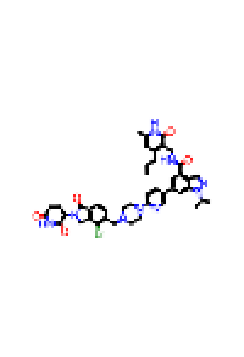 CCCc1cc(C)[nH]c(=O)c1CNC(=O)c1cc(-c2ccc(N3CCN(Cc4ccc5c(c4Br)CN(C4CCC(=O)NC4=O)C5=O)CC3)nc2)cc2c1cnn2C(C)C